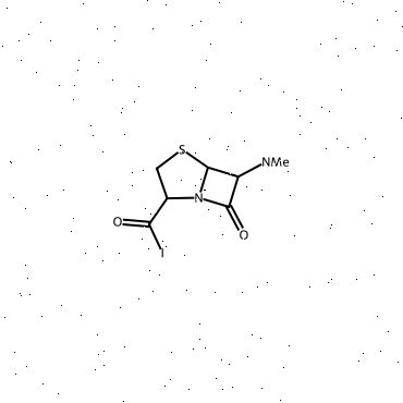 CNC1C(=O)N2C(C(=O)I)CSC12